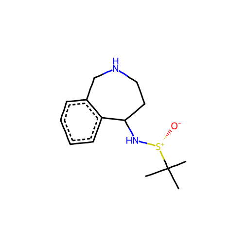 CC(C)(C)[S@@+]([O-])NC1CCNCc2ccccc21